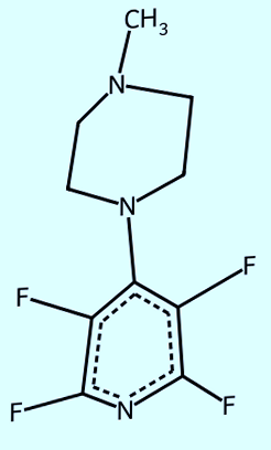 CN1CCN(c2c(F)c(F)nc(F)c2F)CC1